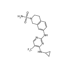 NS(=O)(=O)N1CCc2ccc(Nc3ncc(C(F)(F)F)c(NC4CC4)n3)cc2C1